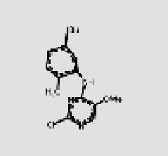 COc1cnc(Cl)nc1Nc1cc(C(C)(C)C)ccc1C